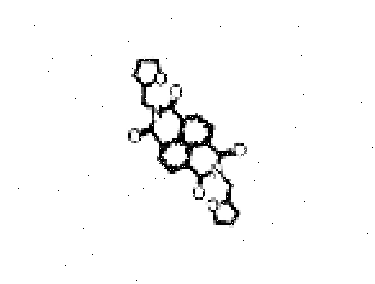 O=C1c2ccc3c4c(ccc(c24)C(=O)N1CC1CCCO1)C(=O)N(CC1CCCO1)C3=O